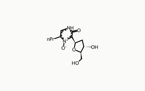 CCCc1c[nH]c(=O)c([C@H]2C[C@H](O)[C@@H](CO)O2)[n+]1[O-]